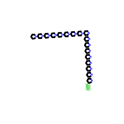 Cl.Cl.Cl.Cl.c1ccncc1.c1ccncc1.c1ccncc1.c1ccncc1.c1ccncc1.c1ccncc1.c1ccncc1.c1ccncc1.c1ccncc1.c1ccncc1.c1ccncc1.c1ccncc1.c1ccncc1.c1ccncc1.c1ccncc1.c1ccncc1.c1ccncc1